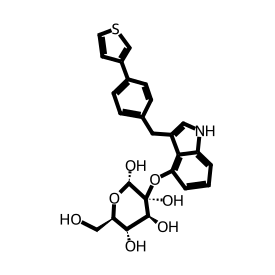 OC[C@H]1O[C@H](O)[C@@](O)(Oc2cccc3[nH]cc(Cc4ccc(-c5ccsc5)cc4)c23)[C@@H](O)[C@@H]1O